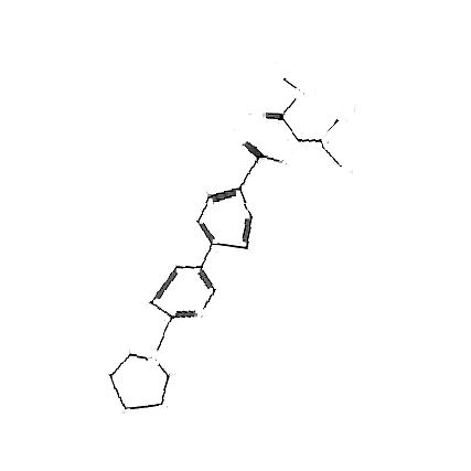 C[C@@H](O)[C@H](NC(=O)c1ccc(-c2ccc(N3CCCCC3)nc2)cc1)C(=O)NO